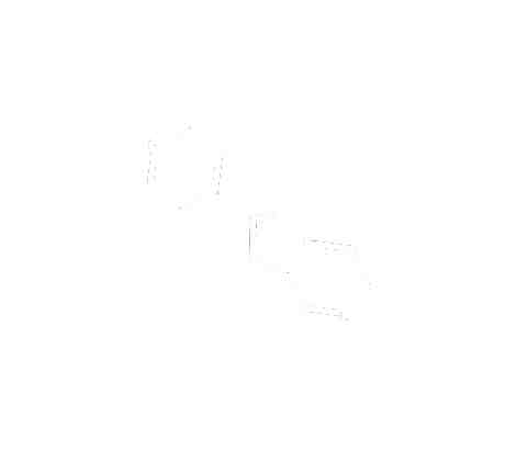 c1cc(-c2cc3cnccc3s2)ccn1